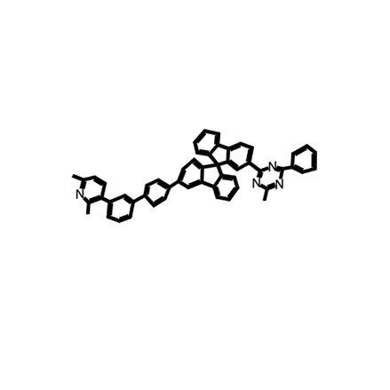 Cc1ccc(-c2cccc(-c3ccc(-c4ccc5c(c4)-c4ccccc4C54c5ccccc5-c5ccc(-c6nc(C)nc(-c7ccccc7)n6)cc54)cc3)c2)c(C)n1